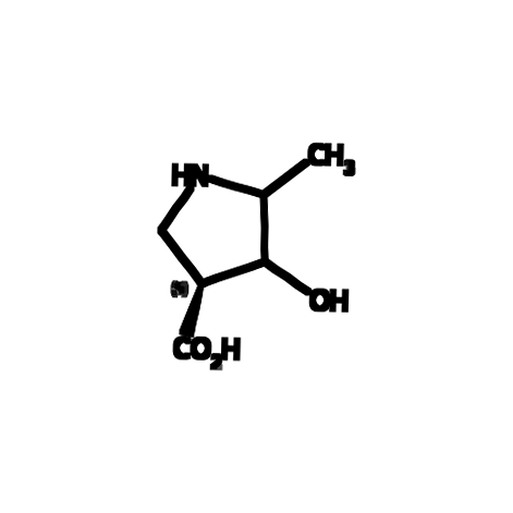 CC1NC[C@H](C(=O)O)C1O